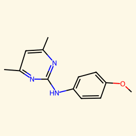 COc1ccc(Nc2nc(C)cc(C)n2)cc1